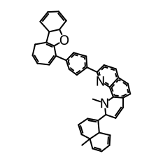 CN1c2c(ccc3ccc(-c4ccc(C5=CC=CCC6=C5OC5C=CC=CC65)cc4)nc23)C=CC1C1=CC=CC2(C)C=CC=CC12